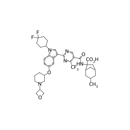 CC1CC2CC(C1)C(NC(=O)c1cnc(-c3cn(C4CCC(F)(F)CC4)c4ccc(OC5CCCN(C6COC6)C5)cc34)nc1C(F)(F)F)(C(=O)O)C2